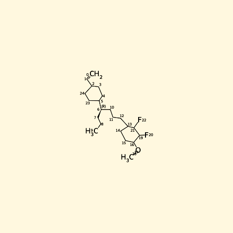 C=CC1CCC([C@H](CCC)CCCC2CCC(OC)C(F)C2F)CC1